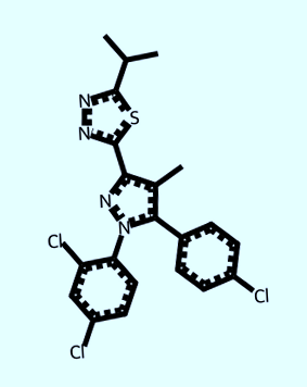 Cc1c(-c2nnc(C(C)C)s2)nn(-c2ccc(Cl)cc2Cl)c1-c1ccc(Cl)cc1